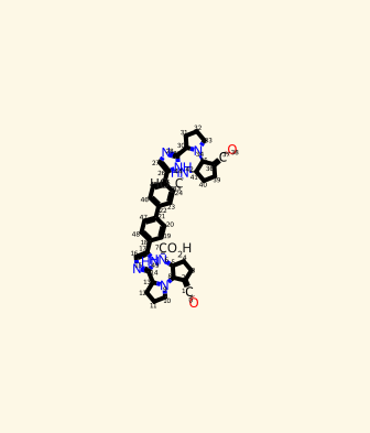 O=C=C1CCC(NC(=O)O)C1N1CCCC1c1ncc(-c2ccc(-c3ccc(-c4cnc(C5CCCN5[C@H]5C(=C=O)CC[C@@H]5NC(=O)O)[nH]4)cc3)cc2)[nH]1